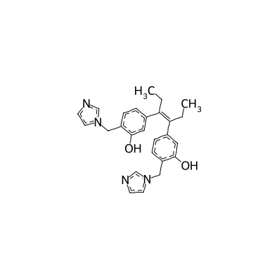 CCC(=C(CC)c1ccc(Cn2ccnc2)c(O)c1)c1ccc(Cn2ccnc2)c(O)c1